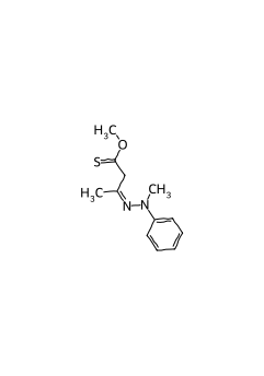 COC(=S)CC(C)=NN(C)c1ccccc1